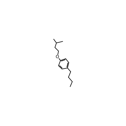 CCCCc1ccc(OCCC(C)C)cc1